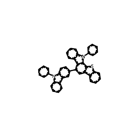 c1ccc(-n2c3ccccc3c3cc(-c4cc5c6ccccc6sc5c5c4c4ccccc4n5-c4ccccc4)ccc32)cc1